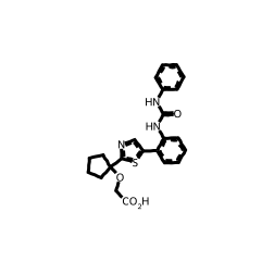 O=C(O)COC1(c2ncc(-c3ccccc3NC(=O)Nc3ccccc3)s2)CCCC1